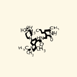 CCCc1cc(C)[nH]c(=O)c1CNC(=O)c1cc(N2CCS(O)(O)CC2)cc2c1c(C)cn2C(C)C